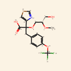 CO[C@@H](CO)COC(Cc1ccc(OC(F)(F)F)cc1)(C(=O)O)c1cscn1